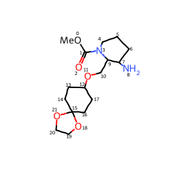 COC(=O)N1CCCC(N)C1COC1CCC2(CC1)OCCO2